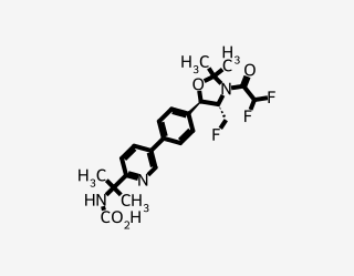 CC(C)(NC(=O)O)c1ccc(-c2ccc([C@H]3OC(C)(C)N(C(=O)C(F)F)[C@@H]3CF)cc2)cn1